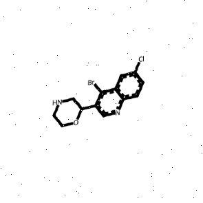 Clc1ccc2ncc(C3CNCCO3)c(Br)c2c1